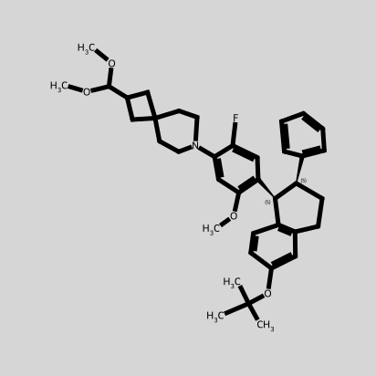 COc1cc(N2CCC3(CC2)CC(C(OC)OC)C3)c(F)cc1[C@@H]1c2ccc(OC(C)(C)C)cc2CC[C@@H]1c1ccccc1